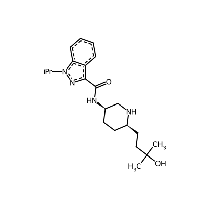 CC(C)n1nc(C(=O)N[C@@H]2CC[C@H](CCC(C)(C)O)NC2)c2ccccc21